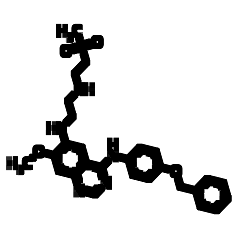 COc1cc2ncnc(Nc3ccc(OCc4ccccc4)cc3)c2cc1NCCNCCS(C)(=O)=O